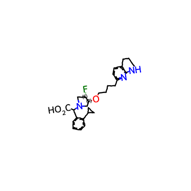 O=C(O)C(c1ccccc1C1CC1)N1C[C@H](F)[C@H](OCCCCc2ccc3c(n2)NCCC3)C1